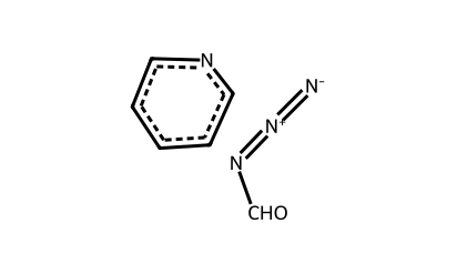 [N-]=[N+]=NC=O.c1ccncc1